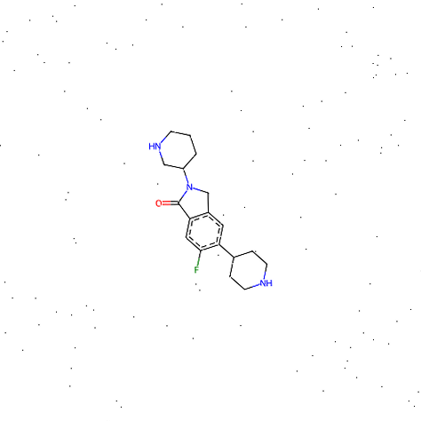 O=C1c2cc(F)c(C3CCNCC3)cc2CN1C1CCCNC1